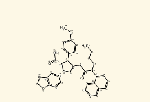 CCCCN(C(=O)CN1C[C@H](c2ccc3c(c2)OCO3)[C@H](C(=O)O)[C@H]1c1ccc(OC)cc1)c1cccc2ccccc12